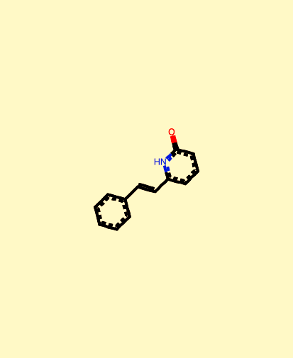 O=c1cccc(C=Cc2ccccc2)[nH]1